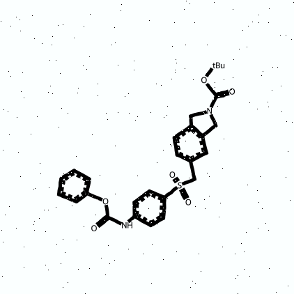 CC(C)(C)OC(=O)N1Cc2ccc(CS(=O)(=O)c3ccc(NC(=O)Oc4ccccc4)cc3)cc2C1